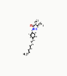 CCCCCCCCc1ccc(CNC(=O)C(CC)CC)cc1